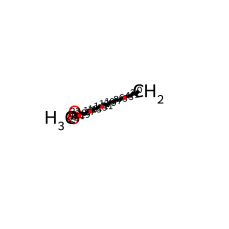 C=CCCCCCCCCCCCCCCCCCCCCC(=O)OC